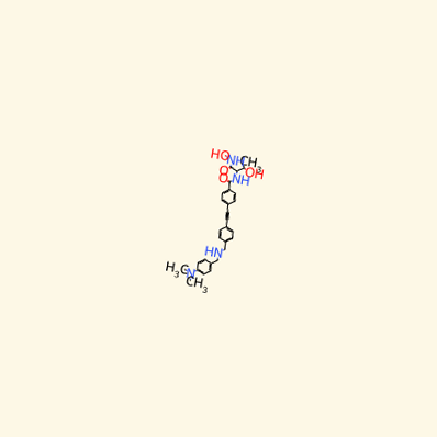 CC(O)C(NC(=O)c1ccc(C#Cc2ccc(CNCc3ccc(N(C)C)cc3)cc2)cc1)C(=O)NO